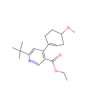 CCOC(=O)c1cnc(C(C)(C)C)cc1C1=CCC(OC)CC1